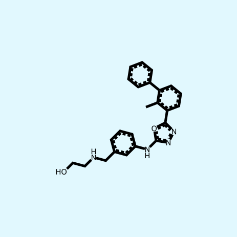 Cc1c(-c2ccccc2)cccc1-c1nnc(Nc2cccc(CNCCO)c2)o1